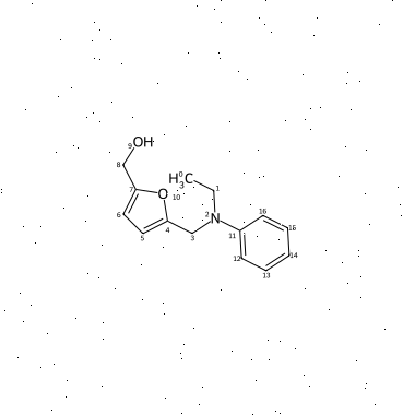 CCN(Cc1ccc(CO)o1)c1ccccc1